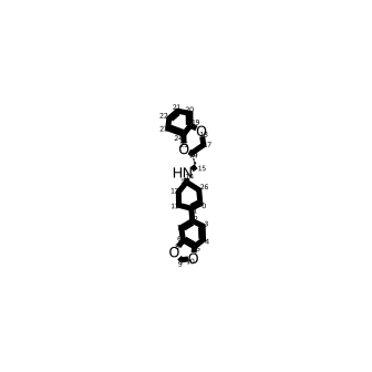 C1=C(c2ccc3c(c2)OCO3)CCC(NC[C@H]2COc3ccccc3O2)C1